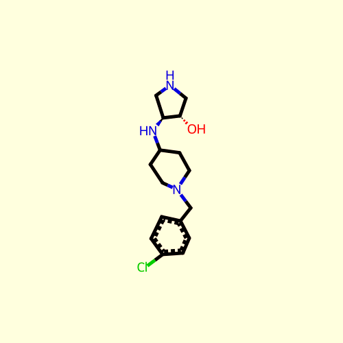 O[C@H]1CNC[C@@H]1NC1CCN(Cc2ccc(Cl)cc2)CC1